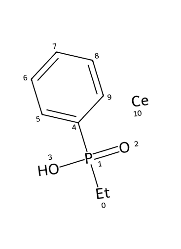 CCP(=O)(O)c1ccccc1.[Ce]